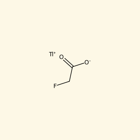 O=C([O-])CF.[Tl+]